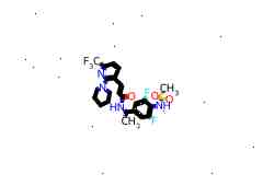 CC(NC(=O)C=Cc1ccc(C(F)(F)F)nc1N1CCCCC1)c1cc(F)c(NS(C)(=O)=O)c(F)c1